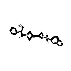 O=C(C(CO)c1ccccc1)N1CC(=C2CN(S(=O)(=O)c3ccc4ncsc4c3)C2)C1